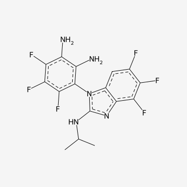 CC(C)Nc1nc2c(F)c(F)c(F)cc2n1-c1c(N)c(N)c(F)c(F)c1F